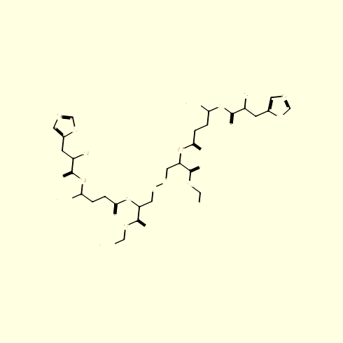 NC(Cc1cnc[nH]1)C(=O)NC(CCC(=O)NC(CSSCC(NC(=O)CCC(NC(=O)C(N)Cc1cnc[nH]1)C(=O)O)C(=O)NCC(=O)O)C(=O)NCC=O)C(=O)O